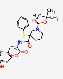 CC(C)(C)OC(=O)N1CCCC(Sc2ccccc2)(C(=O)N[C@@H](Cc2ccc(O)cc2)C(=O)O)C1